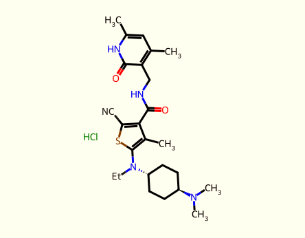 CCN(c1sc(C#N)c(C(=O)NCc2c(C)cc(C)[nH]c2=O)c1C)[C@H]1CC[C@H](N(C)C)CC1.Cl